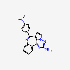 CN(C)c1ccc(C2=Nc3ccccc3-c3nc(N)nn4ccc2c34)cc1